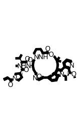 C=CC(=O)N1CC[C@H](C(=O)N(C)[C@H](C(=O)N[C@H]2Cc3ncc(o3)-c3ccc4c(c3)c(c(-c3cccnc3[C@H](C)OC)n4CC)CC(C)(C)COC(=O)C3CCCN(N3)C2=O)C(C)C)C1